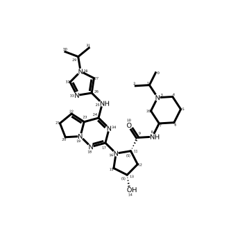 CC(C)N1CCCC(NC(=O)[C@@H]2C[C@H](O)CN2C2=NN3CCC=C3C(Nc3cn(C(C)C)cn3)=N2)C1